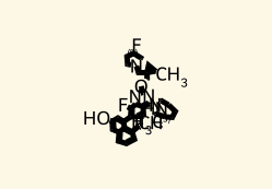 C#Cc1cccc2cc(O)cc(-c3c(F)cc4c(N5CC6CC[C@@](C)(C5)N6)nc(OCC5(CN6CC[C@@H](F)C6)CC5C)nc4c3F)c12